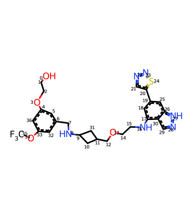 OCCOc1cc(CNC2CC(COCCNc3cc(-c4cnns4)cc4[nH]ncc34)C2)cc(OC(F)(F)F)c1